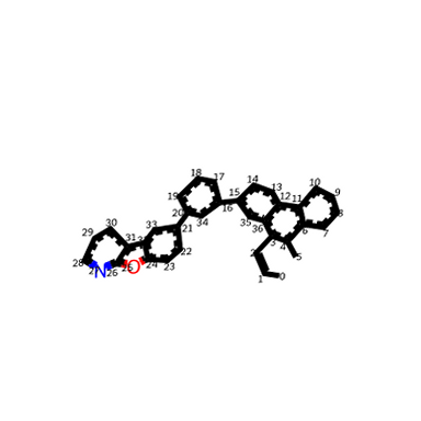 C/C=C\c1c(C)c2ccccc2c2ccc(-c3cccc(-c4ccc5oc6ncccc6c5c4)c3)cc12